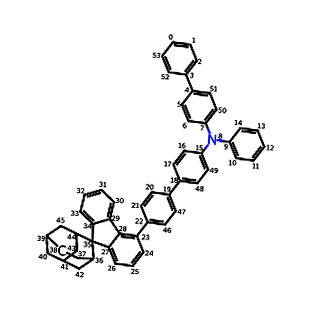 c1ccc(-c2ccc(N(c3ccccc3)c3ccc(-c4ccc(-c5cccc6c5-c5ccccc5C65C6CCC7CC(C6)CC5C7)cc4)cc3)cc2)cc1